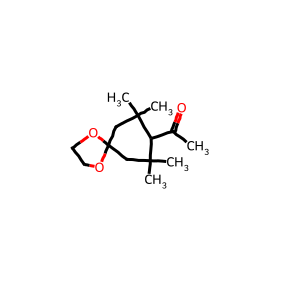 CC(=O)C1C(C)(C)CC2(CC1(C)C)OCCO2